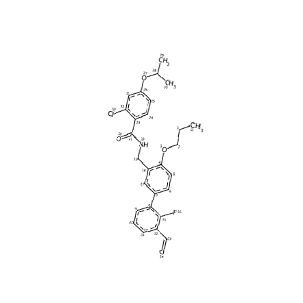 CCCOc1ccc(-c2cccc(C=O)c2F)cc1CNC(=O)c1ccc(OC(C)C)cc1Cl